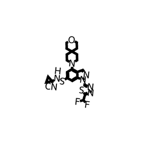 N#CC1(NSc2cc(N3CCC4(CCOCC4)CC3)c3cnn(-c4nnc(C(F)F)s4)c3c2)CC1